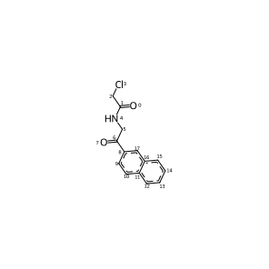 O=C(CCl)NCC(=O)c1ccc2ccccc2c1